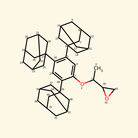 CC(Oc1cc(C23CC4CC(CC(C4)C2)C3)c(C23CC4CC(CC(C4)C2)C3)cc1C12CC3CC(CC(C3)C1)C2)C1CO1